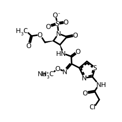 CON=C(C(=O)N[C@@H]1C(=O)N(S(=O)(=O)[O-])[C@@H]1COC(C)=O)c1csc(NC(=O)CCl)n1.[Na+]